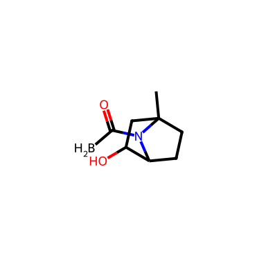 BC(=O)N1C2CCC1(C)CC2O